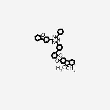 CC1(C)c2ccccc2-c2cc3c(cc21)Oc1cccc(-c2cccc(-c4nc(-c5ccccc5)nc(-c5ccc6c(c5)oc5ccccc56)n4)c2)c1O3